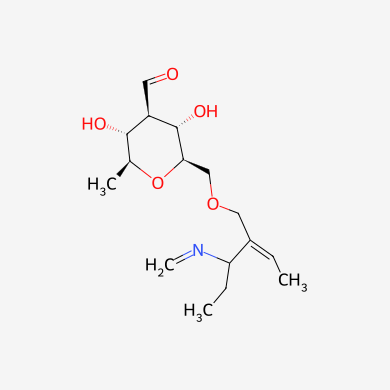 C=NC(CC)/C(=C\C)COC[C@H]1O[C@@H](C)[C@H](O)[C@@H](C=O)[C@@H]1O